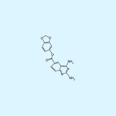 Nc1nc(N)c2cc(C(=O)Oc3ccc4c(c3)OCO4)ccc2n1